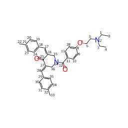 CCN(CC)CCOc1ccc(C(=O)N2C/C(=C/c3ccc(C)cc3)C(=O)/C(=C/c3ccc(C)cc3)C2)cc1